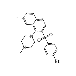 CCc1ccc(S(=O)(=O)c2cnc3ccc(C)cc3c2N2CCN(C)CC2)cc1